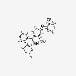 CC1CC=C(c2ncccc2-n2cnc(=O)c3cc(Oc4ncccc4C(F)(F)F)ccc32)CC1